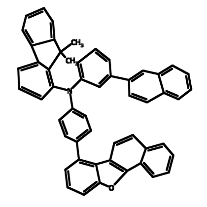 CC1(C)c2ccccc2-c2cccc(N(c3ccc(-c4cccc5oc6c7ccccc7ccc6c45)cc3)c3cccc(-c4ccc5ccccc5c4)c3)c21